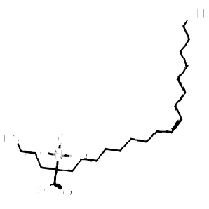 CCCCCCCC/C=C\CCCCCCCCC(CCCN)(C(=O)[O-])[N+](C)(C)C